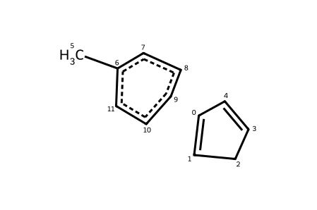 C1=CCC=C1.Cc1ccccc1